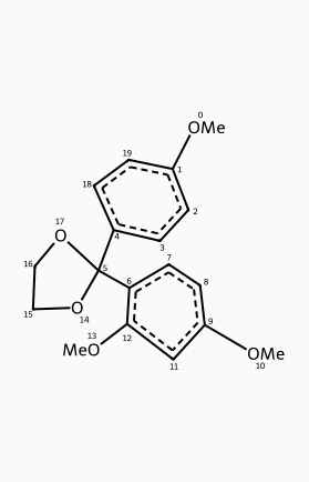 COc1ccc(C2(c3ccc(OC)cc3OC)OCCO2)cc1